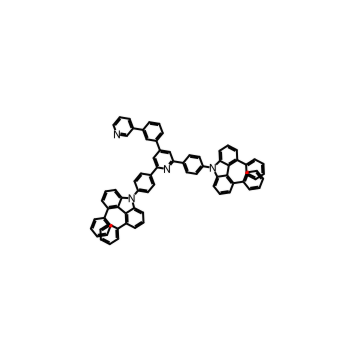 c1ccc(-c2cccc3c2c2c(-c4ccccc4)cccc2n3-c2ccc(-c3cc(-c4cccc(-c5cccnc5)c4)cc(-c4ccc(-n5c6cccc(-c7ccccc7)c6c6c(-c7ccccc7)cccc65)cc4)n3)cc2)cc1